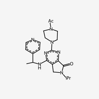 CC(=O)N1CCN(c2nc(NC(C)c3ccncc3)c3c(n2)C(=O)N(C(C)C)C3)CC1